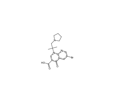 CC(C)(CN1CCCC1)n1cc(C(=O)O)c(=O)c2cc(Br)cnc21